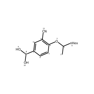 CCCCCCC(C)Oc1ccc(B(O)O)cc1C#N